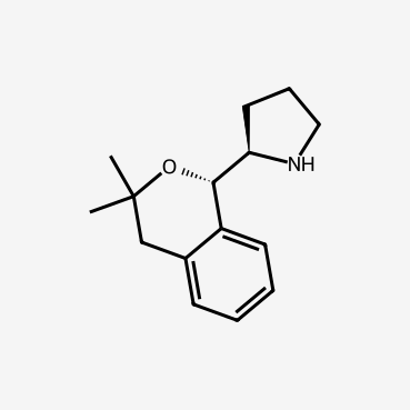 CC1(C)Cc2ccccc2[C@@H]([C@H]2CCCN2)O1